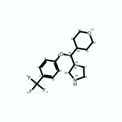 FC(F)(F)c1ccc(O[C@@H](C2CCOCC2)[C@H]2CCNC2)cc1